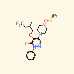 CC(COc1c(N2CCN(OSC(C)C)CC2)cnn(-c2ccccc2)c1=O)CC(F)(F)F